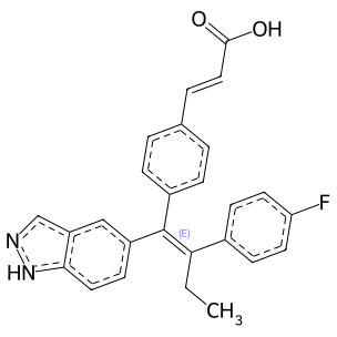 CC/C(=C(/c1ccc(C=CC(=O)O)cc1)c1ccc2[nH]ncc2c1)c1ccc(F)cc1